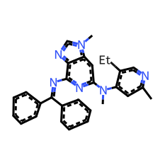 CCc1cnc(C)cc1N(C)c1cc2c(ncn2C)c(N=C(c2ccccc2)c2ccccc2)n1